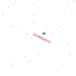 O=C=O.[W]